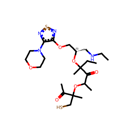 CCNC[C@@H](COc1nsnc1N1CCOCC1)OC(C)(CC)C(=O)C(C)OC(C)(CS)C(C)=O